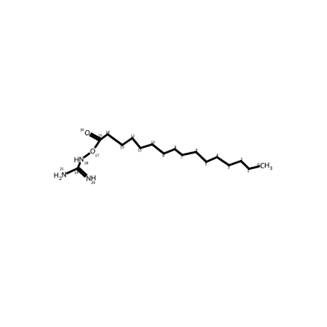 CCCCCCCCCCCCCCCC(=O)ONC(=N)N